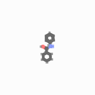 O=C(Nc1cc[c]cc1)C1CCCCC1